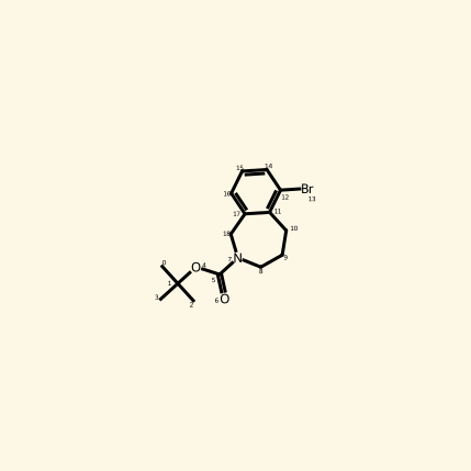 CC(C)(C)OC(=O)N1CCCc2c(Br)cccc2C1